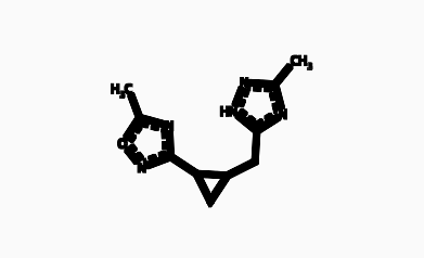 Cc1n[nH]c(CC2CC2c2noc(C)n2)n1